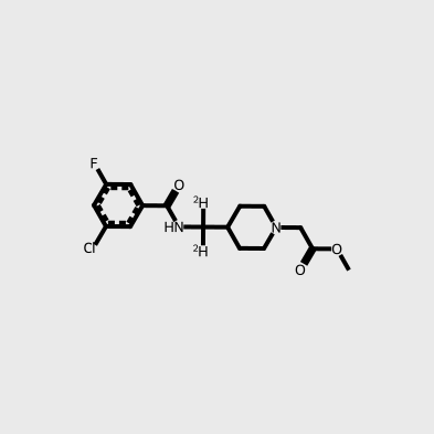 [2H]C([2H])(NC(=O)c1cc(F)cc(Cl)c1)C1CCN(CC(=O)OC)CC1